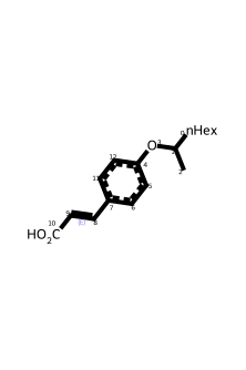 CCCCCCC(C)Oc1ccc(/C=C/C(=O)O)cc1